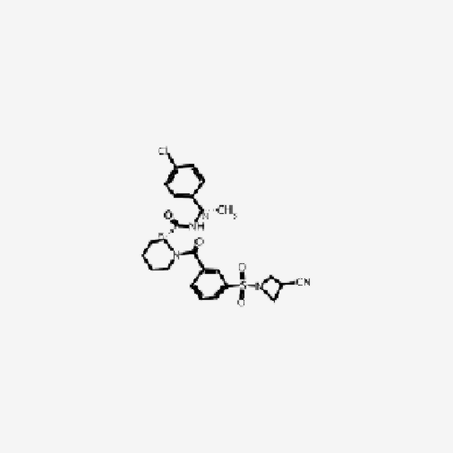 C[C@H](NC(=O)[C@H]1CCCCN1C(=O)c1cccc(S(=O)(=O)N2CC(C#N)C2)c1)c1ccc(Cl)cc1